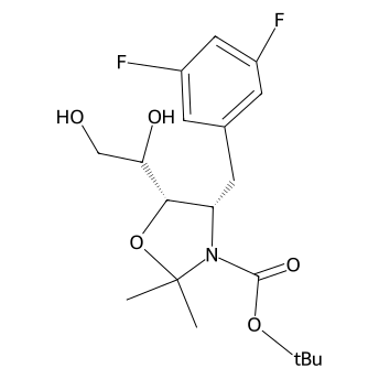 CC(C)(C)OC(=O)N1[C@@H](Cc2cc(F)cc(F)c2)[C@@H](C(O)CO)OC1(C)C